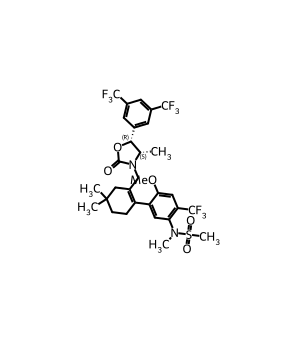 COc1cc(C(F)(F)F)c(N(C)S(C)(=O)=O)cc1C1=C(CN2C(=O)O[C@H](c3cc(C(F)(F)F)cc(C(F)(F)F)c3)[C@@H]2C)CC(C)(C)CC1